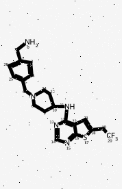 NCc1ccc(CN2CCC(Nc3ncnc4sc(CC(F)(F)F)cc34)CC2)cc1